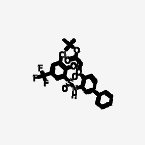 CC(C)(C)OC(=O)COc1ccc(-c2ccccc2)cc1NS(=O)(=O)c1cc(C(F)(F)F)cc(Cl)c1O